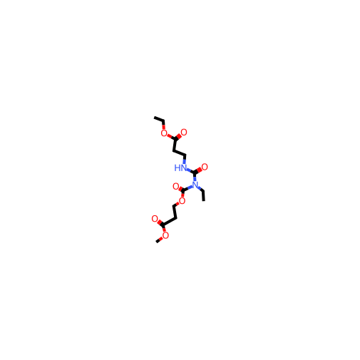 CCOC(=O)CCNC(=O)N(CC)C(=O)OCCC(=O)OC